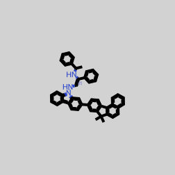 CC(N/C(=C\Nn1c2ccccc2c2ccc(-c3ccc4c(c3)C(C)(C)c3ccc5ccccc5c3-4)cc21)c1ccccc1)c1ccccc1